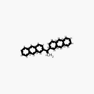 C=C(c1ccc2cc3ccccc3cc2c1)c1ccc2cc3ccccc3cc2c1